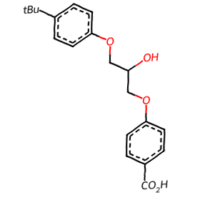 CC(C)(C)c1ccc(OCC(O)COc2ccc(C(=O)O)cc2)cc1